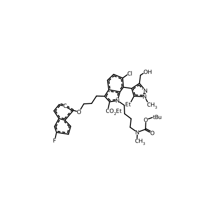 CCOC(=O)c1c(CCCOc2cccc3cc(F)ccc23)c2ccc(Cl)c(-c3c(CO)nn(C)c3CC)c2n1CCCCN(C)C(=O)OC(C)(C)C